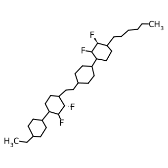 CCCCCCC1CCC(C2CCC(CCC3CCC(C4CCC(CC)CC4)C(F)[C@H]3F)CC2)C(F)[C@H]1F